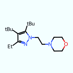 CCc1nn(CCN2CCOCC2)c(C(C)(C)C)c1C(C)(C)C